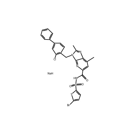 Cc1cc(C(=O)NS(=O)(=O)c2ccc(Br)s2)nc2c1nc(C)n2Cc1ccc(-c2ccccc2)cc1Cl.[NaH]